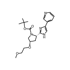 COCCO[C@@H]1C[C@@H](c2nc(-c3cccnc3)c[nH]2)N(C(=O)OC(C)(C)C)C1